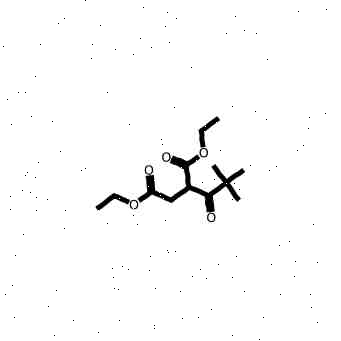 CCOC(=O)CC(C(=O)OCC)C(=O)C(C)(C)C